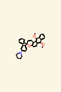 COc1c2ccccc2c(OC)c2c3c(ccc12)OC(c1ccccc1)(c1ccc(N2CCCCC2)cc1)C=C3